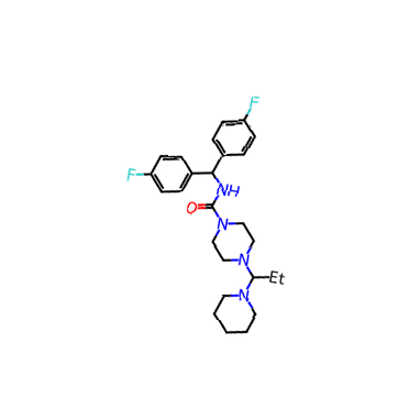 CCC(N1CCCCC1)N1CCN(C(=O)NC(c2ccc(F)cc2)c2ccc(F)cc2)CC1